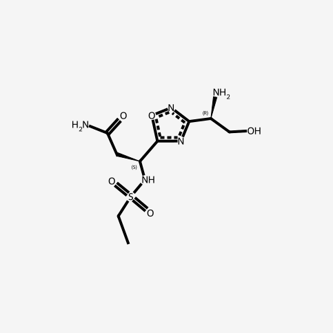 CCS(=O)(=O)N[C@@H](CC(N)=O)c1nc([C@@H](N)CO)no1